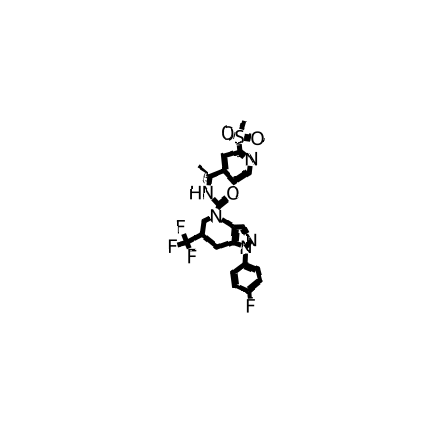 C[C@H](NC(=O)N1CC(C(F)(F)F)Cc2c1cnn2-c1ccc(F)cc1)c1ccnc(S(C)(=O)=O)c1